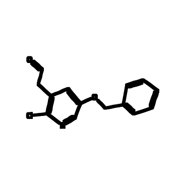 O=CCc1cc(OCc2ccccc2)cnc1Cl